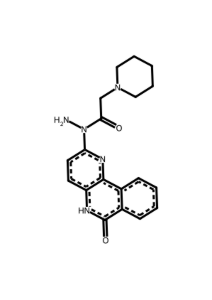 NN(C(=O)CN1CCCCC1)c1ccc2[nH]c(=O)c3ccccc3c2n1